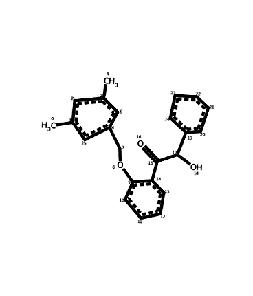 Cc1cc(C)cc(COc2ccccc2C(=O)C(O)c2ccccc2)c1